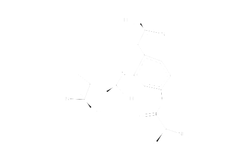 CC(C)[C@H](N)C(=O)Oc1ccc(C[C@H](N)C(=O)O)cc1.C[C@H](N)C(=O)O.N[C@@H](CC(=O)O)C(=O)O